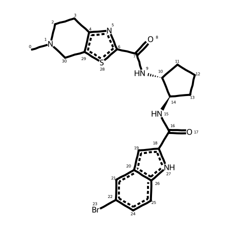 CN1CCc2nc(C(=O)N[C@@H]3CCC[C@H]3NC(=O)c3cc4cc(Br)ccc4[nH]3)sc2C1